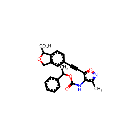 Cc1noc(C#Cc2ccc3c(c2)COC3C(=O)O)c1NC(=O)OC(C)c1ccccc1